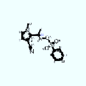 C/C(=N\OS(=O)(=O)c1ccccc1)c1c(C#N)ccn1C